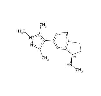 CN[C@@H]1CCc2ccc(-c3c(C)nn(C)c3C)cc21